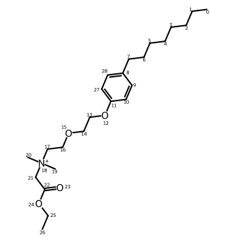 CCCCCCCCc1ccc(OCCOCC[N+](C)(C)CC(=O)OCC)cc1